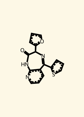 O=C1Nc2ncccc2C(c2cccs2)=NC1c1ccco1